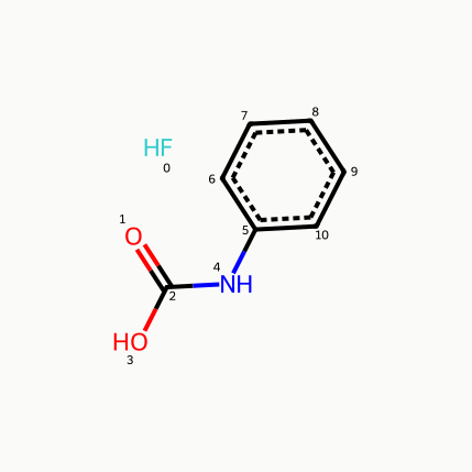 F.O=C(O)Nc1ccccc1